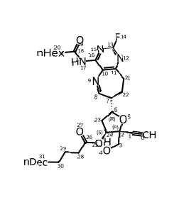 C#C[C@]1(CO)O[C@@H](C2C=Nc3c(nc(F)nc3NC(=O)CCCCCC)CC2)C[C@@H]1OC(=O)CCCCCCCCCCCCC